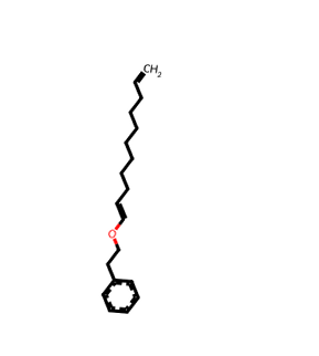 C=CCCCCCCCC=COCCc1ccccc1